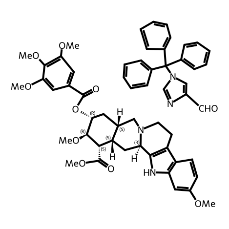 COC(=O)[C@H]1[C@H]2C[C@@H]3c4[nH]c5cc(OC)ccc5c4CCN3C[C@H]2C[C@@H](OC(=O)c2cc(OC)c(OC)c(OC)c2)[C@@H]1OC.O=Cc1cn(C(c2ccccc2)(c2ccccc2)c2ccccc2)cn1